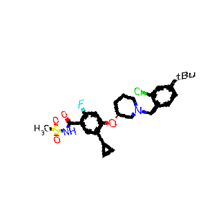 CC(C)(C)c1ccc(CN2CCC[C@@H](Oc3cc(F)c(C(=O)NS(C)(=O)=O)cc3C3CC3)C2)c(Cl)c1